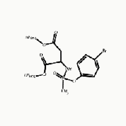 CCCCCOC(=O)CC(NP(C)(=O)Oc1ccc(Br)cc1)C(=O)OCCCCC